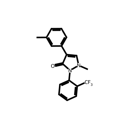 Cc1cccc(-c2cn(C)n(-c3ccccc3C(F)(F)F)c2=O)c1